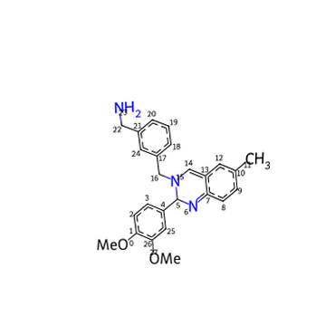 COc1ccc(C2N=c3ccc(C)cc3=CN2Cc2cccc(CN)c2)cc1OC